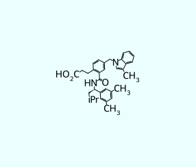 Cc1cc(C)cc([C@@H](CC(C)C)NC(=O)c2cc(Cn3cc(C)c4ccccc43)ccc2CCC(=O)O)c1